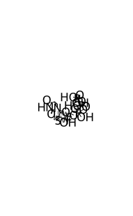 O=c1ccn([C@@H]2O[C@](F)(COP(=O)(O)OP(=O)(O)OP(=O)(O)O)[C@@H](O)[C@]23CCS3)c(=O)[nH]1